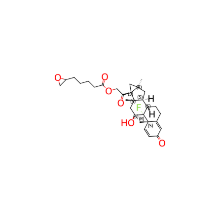 C[C@]12C[C@H]3[C@@H]4CCC5=CC(=O)C=C[C@]5(C)[C@@]4(F)[C@@H](O)C[C@]3(C)[C@]1(C(=O)COC(=O)CCCCC1CO1)C2